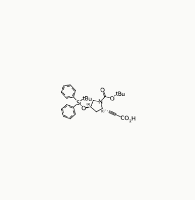 CC(C)(C)OC(=O)N1C[C@H](O[Si](c2ccccc2)(c2ccccc2)C(C)(C)C)C[C@H]1C#CC(=O)O